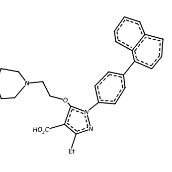 CCc1nn(-c2ccc(-c3cccc4ccccc34)cc2)c(OCCN2CCOCC2)c1C(=O)O